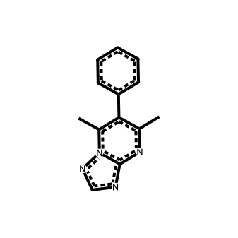 Cc1nc2ncnn2c(C)c1-c1ccccc1